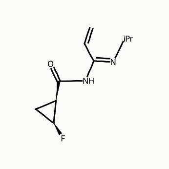 C=C/C(=N\C(C)C)NC(=O)[C@@H]1C[C@@H]1F